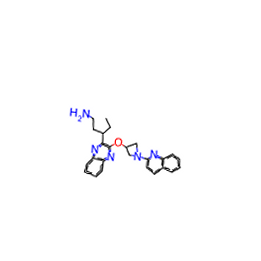 CCC(CCN)c1nc2ccccc2nc1OC1CN(c2ccc3ccccc3n2)C1